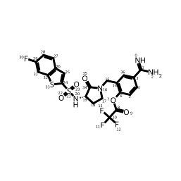 N=C(N)c1ccc(OC(=O)C(F)(F)F)c(CN2CC[C@H](NS(=O)(=O)c3cc4ccc(F)cc4s3)C2=O)c1